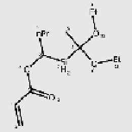 C=CC(=O)OC(CCC)[SiH2]C(C)(OCC)OCC